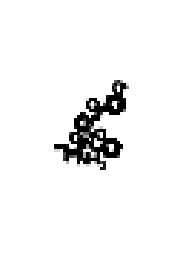 CC[C@H](C)[C@H](N)C(=O)N(Cc1ccccc1)C(=O)[C@@H]1CCCN1CC(=O)c1cccc(OC)c1